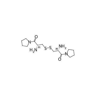 N[C@@H](CSSC[C@H](N)C(=O)N1CCCC1)C(=O)N1CCCC1